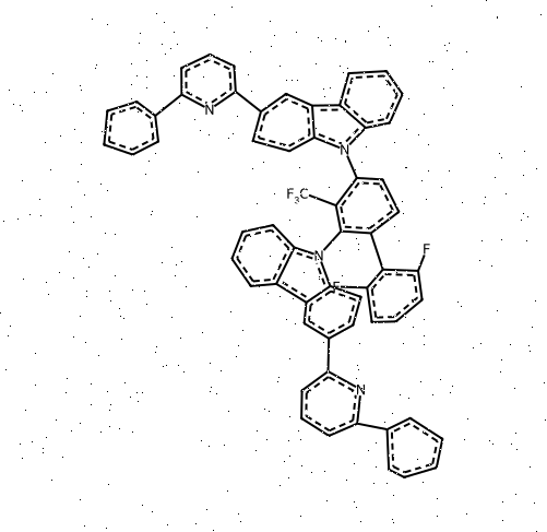 Fc1cccc(F)c1-c1ccc(-n2c3ccccc3c3cc(-c4cccc(-c5ccccc5)n4)ccc32)c(C(F)(F)F)c1-n1c2ccccc2c2cc(-c3cccc(-c4ccccc4)n3)ccc21